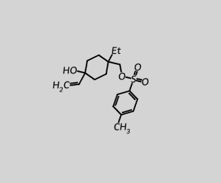 C=CC1(O)CCC(CC)(COS(=O)(=O)c2ccc(C)cc2)CC1